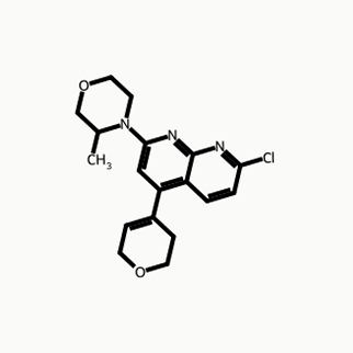 CC1COCCN1c1cc(C2=CCOCC2)c2ccc(Cl)nc2n1